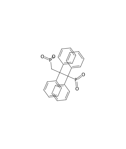 O=P(=O)CC(c1ccccc1)(c1ccccc1)C(c1ccccc1)(c1ccccc1)P(=O)=O